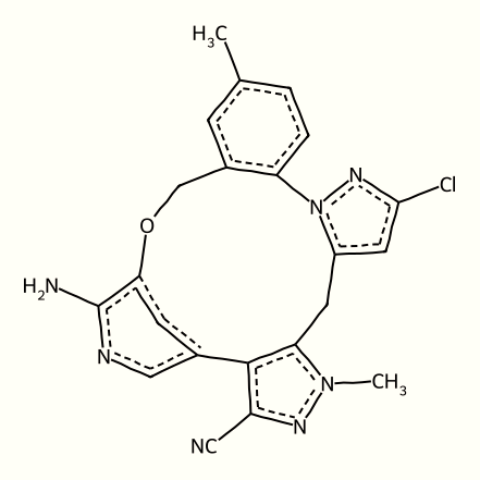 Cc1ccc2c(c1)COc1cc(cnc1N)-c1c(C#N)nn(C)c1Cc1cc(Cl)nn1-2